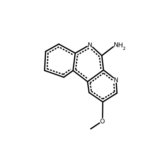 COc1cnc2c(N)nc3ccccc3c2c1